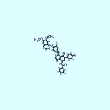 COc1cc2ncnc(Oc3ccc(Nc4nccc5c4c(=O)c(-c4ccc(F)cc4)cn5CC(=O)c4ccccc4)cc3F)c2cc1OC